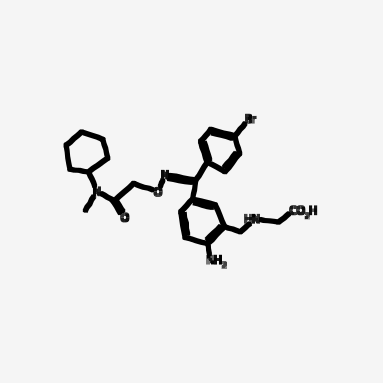 CN(C(=O)CO/N=C(/c1ccc(Br)cc1)c1ccc(N)c(CNCC(=O)O)c1)C1CCCCC1